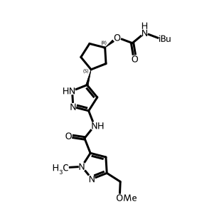 CCC(C)NC(=O)O[C@@H]1CC[C@H](c2cc(NC(=O)c3cc(COC)nn3C)n[nH]2)C1